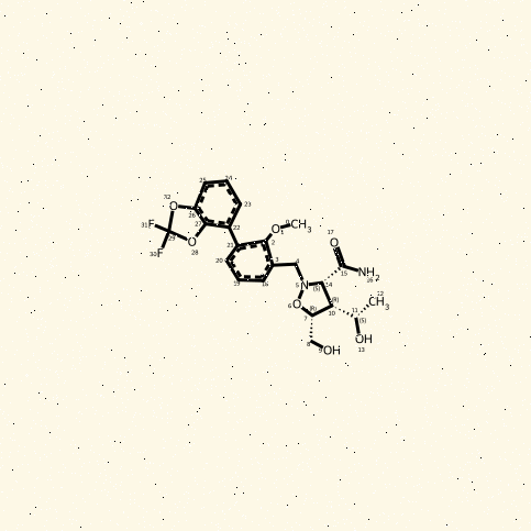 COc1c(CN2O[C@@H](CO)[C@@H]([C@H](C)O)[C@H]2C(N)=O)cccc1-c1cccc2c1OC(F)(F)O2